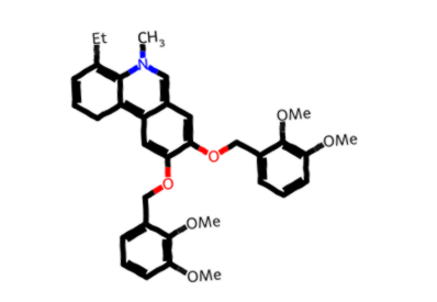 CCC1=C2C(=c3cc(OCc4cccc(OC)c4OC)c(OCc4cccc(OC)c4OC)cc3=CN2C)CC=C1